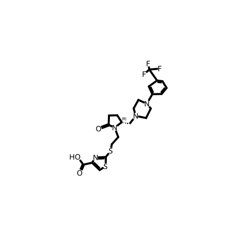 O=C(O)c1csc(SCCN2C(=O)CC[C@@H]2CN2CCN(c3cccc(C(F)(F)F)c3)CC2)n1